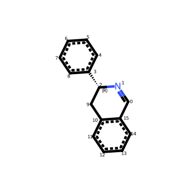 C1=N[C@@H](c2ccccc2)Cc2ccccc21